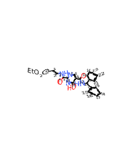 CCOC(=O)CCNC(=O)c1ncc(C(=O)NC(c2ccccc2)c2ccccc2)c(O)n1